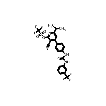 CC(C)c1cc(-c2ccc(NC(=O)Nc3cccc(C(F)(F)F)c3)cc2)c(C#N)c(OS(=O)(=O)C(F)(F)F)n1